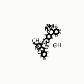 CCc1cc(NCc2ccc(-c3ccccc3-c3nnn[nH]3)cc2)c(C(=O)c2ccccc2)c(C)n1.Cl